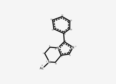 CC(=O)N1CCn2c(cnc2-c2ccccc2)C1